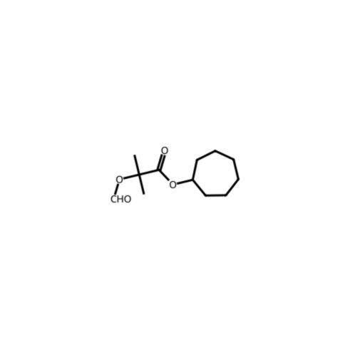 CC(C)(OC=O)C(=O)OC1CCCCCC1